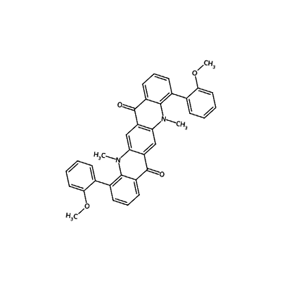 COc1ccccc1-c1cccc2c(=O)c3cc4c(cc3n(C)c12)c(=O)c1cccc(-c2ccccc2OC)c1n4C